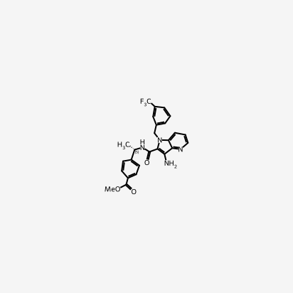 COC(=O)c1ccc([C@H](C)NC(=O)c2c(N)c3ncccc3n2Cc2cccc(C(F)(F)F)c2)cc1